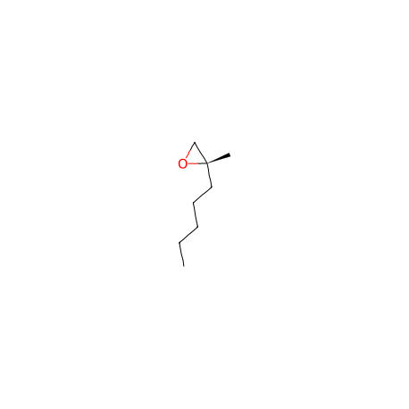 CCCCC[C@@]1(C)CO1